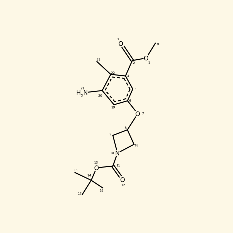 COC(=O)c1cc(OC2CN(C(=O)OC(C)(C)C)C2)cc(N)c1C